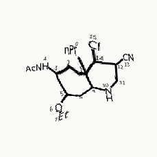 CCCC12CC(NC(C)=O)C(OCC)CC1NCC(C#N)C2Cl